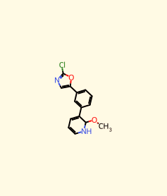 COC1NC=CC=C1c1cccc(-c2cnc(Cl)o2)c1